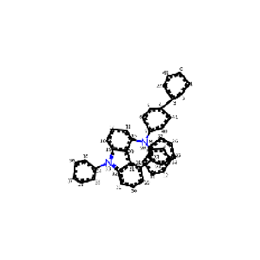 c1ccc(-c2ccc(N(c3ccccc3)c3cccc4c3c3c(-c5ccccc5)cccc3n4-c3ccccc3)cc2)cc1